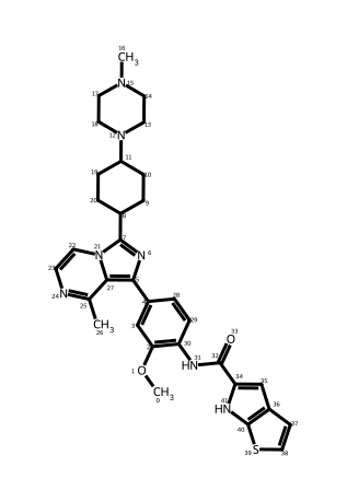 COc1cc(-c2nc(C3CCC(N4CCN(C)CC4)CC3)n3ccnc(C)c23)ccc1NC(=O)c1cc2ccsc2[nH]1